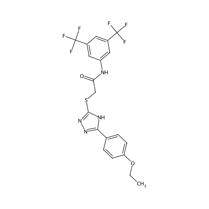 CCOc1ccc(-c2nnc(SCC(=O)Nc3cc(C(F)(F)F)cc(C(F)(F)F)c3)[nH]2)cc1